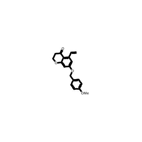 C=Cc1cc(OCc2ccc(OC)cc2)cc2c1C(=O)CCO2